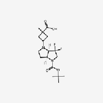 CC(C)(C)OC(=O)N1CC(F)(F)[C@H]2[C@@H]1CCN2C1CC(C)(C(=O)O)C1